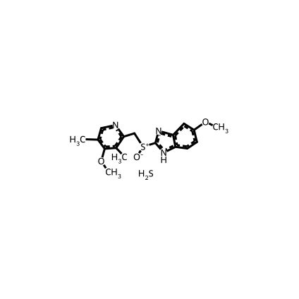 COc1ccc2[nH]c([S+]([O-])Cc3ncc(C)c(OC)c3C)nc2c1.S